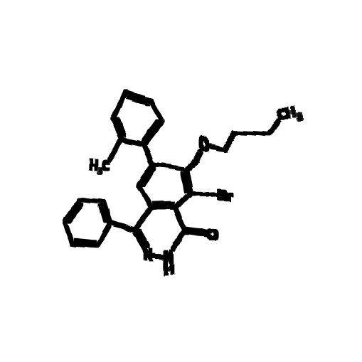 CCCCOc1c(-c2ccccc2C)cc2c(-c3ccccc3)n[nH]c(=O)c2c1Br